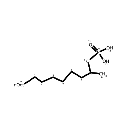 CCCCCCCCCCCCCCC(C)OP(=O)(O)O